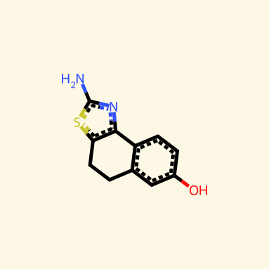 Nc1nc2c(s1)CCc1cc(O)ccc1-2